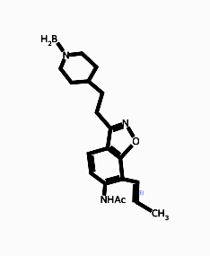 BN1CCC(CCc2noc3c(/C=C/C)c(NC(C)=O)ccc23)CC1